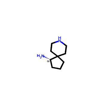 N[C@H]1CCCC12CCNCC2